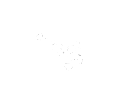 CC(=O)OC(C)C1=C(C(=O)OC(c2ccccc2)c2ccccc2)N2C(=O)C(NC(=O)COc3ccccc3)[C@@H]2SC1